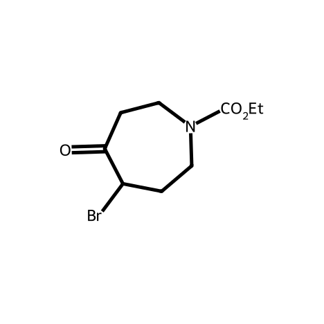 CCOC(=O)N1CCC(=O)C(Br)CC1